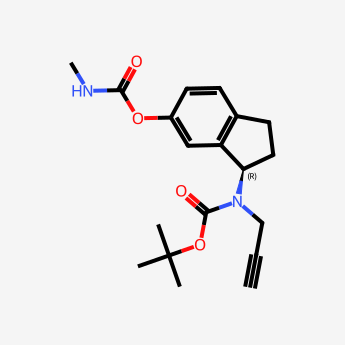 C#CCN(C(=O)OC(C)(C)C)[C@@H]1CCc2ccc(OC(=O)NC)cc21